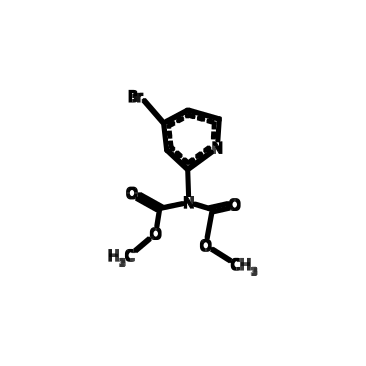 COC(=O)N(C(=O)OC)c1cc(Br)ccn1